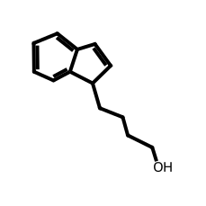 OCCCCC1C=Cc2ccccc21